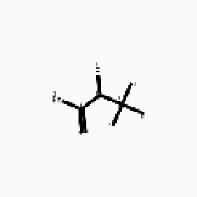 C=C(CC)C(F)C(C)(C)C